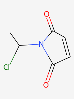 CC(Cl)N1C(=O)C=CC1=O